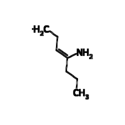 [CH2]CC=C(N)CCC